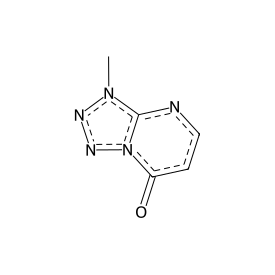 Cn1nnn2c(=O)ccnc12